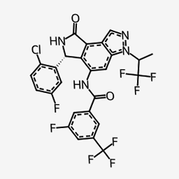 CC(n1ncc2c3c(c(NC(=O)c4cc(F)cc(C(F)(F)F)c4)cc21)[C@H](c1cc(F)ccc1Cl)NC3=O)C(F)(F)F